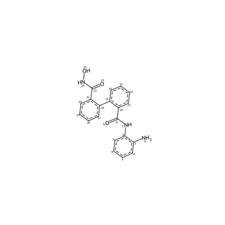 Nc1ccccc1NC(=O)c1ccccc1-c1ccccc1C(=O)NO